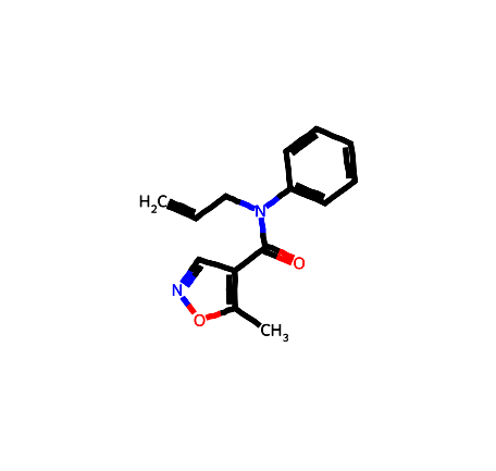 C=CCN(C(=O)c1cnoc1C)c1ccccc1